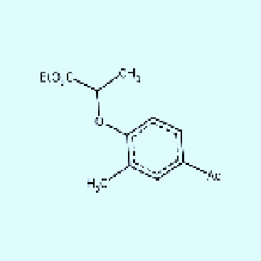 CCOC(=O)C(C)Oc1ccc(C(C)=O)cc1C